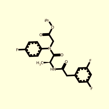 CC(C)OC(=O)CN(C(=O)[C@H](C)NC(=O)Cc1cc(F)cc(F)c1)c1ccc(F)cc1